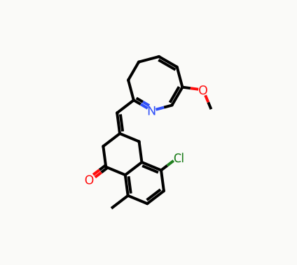 COC1=C/N=C(/C=C2/CC(=O)c3c(C)ccc(Cl)c3C2)CC/C=C\1